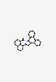 C=c1c2cccc3cccc(c32)c2cc3c4ccccc4c4ccccc4c3n12